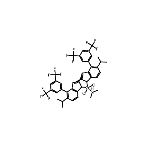 CC1=Cc2c(ccc(C(C)C)c2-c2cc(C(F)(F)F)cc(C(F)(F)F)c2)[CH]1[Zr]([Cl])([Cl])([CH]1C(C)=Cc2c1ccc(C(C)C)c2-c1cc(C(F)(F)F)cc(C(F)(F)F)c1)[SiH](C)C